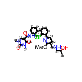 COc1nc(-c2cccc(-c3cccc(NC(=O)c4cn(C)c(=O)n(C)c4=O)c3Cl)c2Cl)ccc1CNCC(C)O